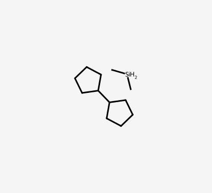 C1CCC(C2CCCC2)C1.C[SiH2]C